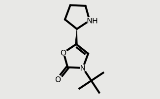 CC(C)(C)n1cc([C@H]2CCCN2)oc1=O